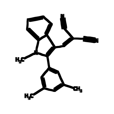 Cc1cc(C)cc(-c2c(C=C(C#N)C#N)c3ccccc3n2C)c1